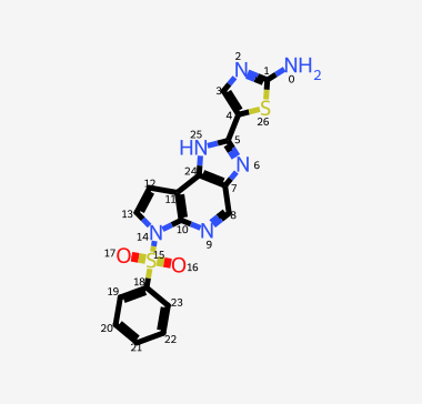 Nc1ncc(-c2nc3cnc4c(ccn4S(=O)(=O)c4ccccc4)c3[nH]2)s1